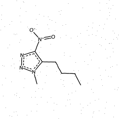 CCCCc1c([N+](=O)[O-])nnn1C